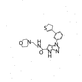 O=C(NCCN1CCOCC1)c1cc2c(ncn2-c2cccc(C3=CSCC3)c2)[nH]1